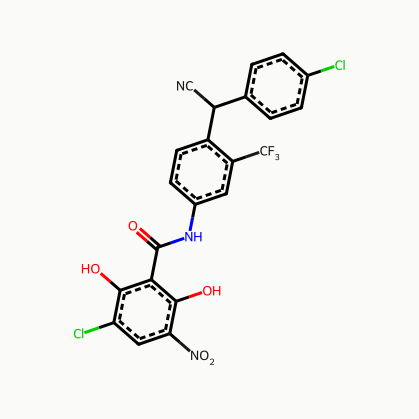 N#CC(c1ccc(Cl)cc1)c1ccc(NC(=O)c2c(O)c(Cl)cc([N+](=O)[O-])c2O)cc1C(F)(F)F